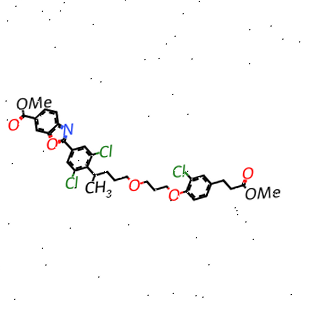 COC(=O)CCc1ccc(OCCCOCCCC(C)c2c(Cl)cc(-c3nc4ccc(C(=O)OC)cc4o3)cc2Cl)c(Cl)c1